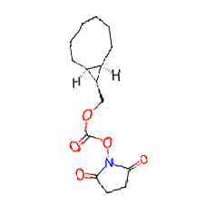 O=C(OC[C@@H]1[C@@H]2CCCCCC[C@@H]21)ON1C(=O)CCC1=O